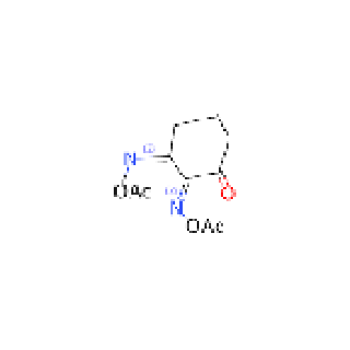 CC(=O)O/N=C1/CCCC(=O)/C1=N\OC(C)=O